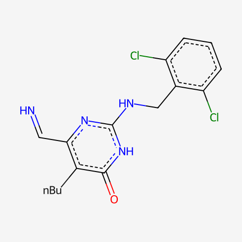 CCCCc1c(C=N)nc(NCc2c(Cl)cccc2Cl)[nH]c1=O